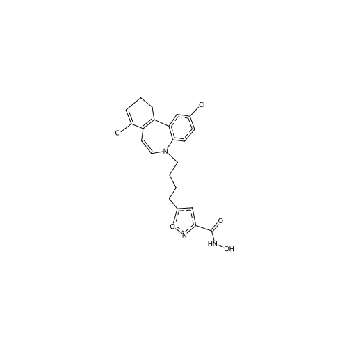 O=C(NO)c1cc(CCCCN2C=CC3=C(CCC=C3Cl)c3cc(Cl)ccc32)on1